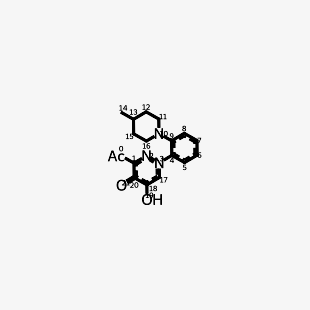 CC(=O)c1nn(-c2ccccc2N2CCC(C)CC2)cc(O)c1=O